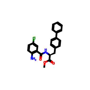 COC(=O)[C@H](Cc1ccc(-c2ccccc2)cc1)NC(=O)c1cc(Cl)ccc1N